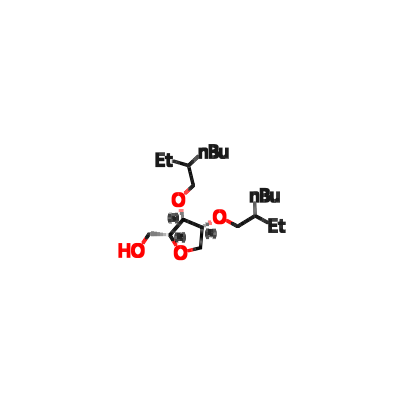 CCCCC(CC)CO[C@H]1[C@@H](CO)OC[C@H]1OCC(CC)CCCC